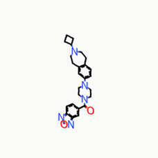 O=C(c1ccc2nonc2c1)N1CCN(c2ccc3c(c2)CCN(C2CCC2)CC3)CC1